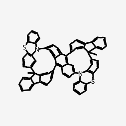 CC12c3ccc4c(c3)N(c3ccc5c6c7cc(ccc7c(c5c3)-c3ccc(c1c3)-c1ccccc12)N1c2ccccc2Sc2ccc(cc21)C1(C)c2ccccc2-c2ccc-6cc21)c1ccccc1S4